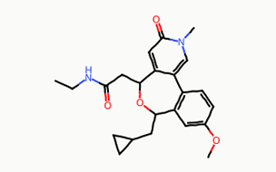 CCNC(=O)CC1OC(CC2CC2)c2cc(OC)ccc2-c2cn(C)c(=O)cc21